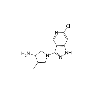 CC1CN(c2n[nH]c3cc(Cl)ncc23)CC1N